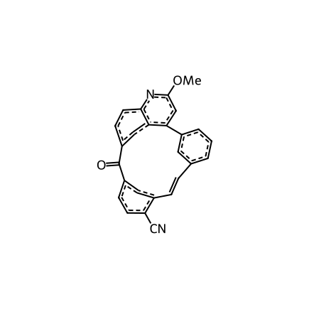 COc1cc2c3cc(ccc3n1)C(=O)c1ccc(C#N)c(c1)/C=C/c1cccc-2c1